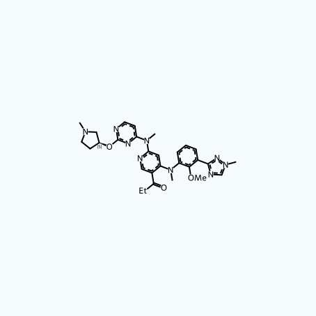 CCC(=O)c1cnc(N(C)c2ccnc(O[C@H]3CCN(C)C3)n2)cc1N(C)c1cccc(-c2ncn(C)n2)c1OC